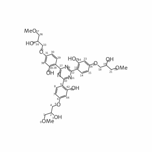 COCC(O)COc1ccc(-c2nc(-c3ccc(OCC(O)COC)cc3O)nc(-c3ccc(OCC(O)COC)cc3O)n2)c(O)c1